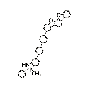 CN1c2ccc(-c3ccc(C4=CC=C(c5ccc6oc7c(ccc8c9ccccc9oc87)c6c5)CC4)cc3)cc2NC1c1ccccc1